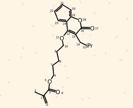 C=C(C)C(=O)OCCCCCOc1c(CC(C)C)c(=O)oc2ccccc12